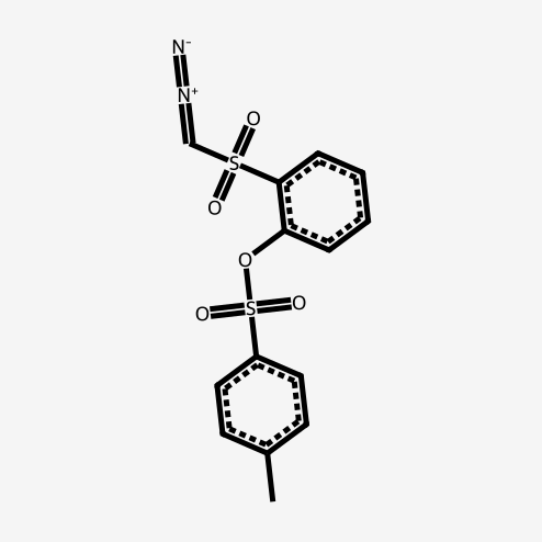 Cc1ccc(S(=O)(=O)Oc2ccccc2S(=O)(=O)C=[N+]=[N-])cc1